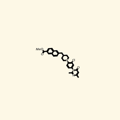 COC(=O)c1ccc2cc(CC3CCN(c4ccc(-n5c(C)nc(C)cc5=O)cc4Cl)CC3)ccc2c1